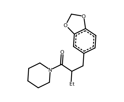 CCC(Cc1ccc2c(c1)OCO2)C(=O)N1CCCCC1